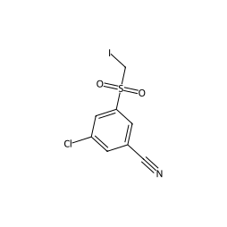 N#Cc1cc(Cl)cc(S(=O)(=O)CI)c1